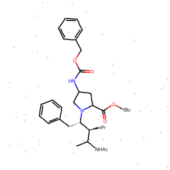 CCC[C@@H](C(C)NC(C)=O)[C@H](Cc1ccccc1)N1CC(NC(=O)OCc2ccccc2)CC1C(=O)OC(C)(C)C